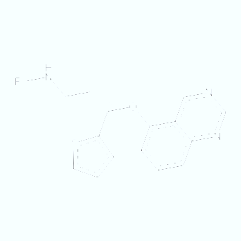 CCNCC[C@H](Oc1cccc2ncncc12)c1cccs1